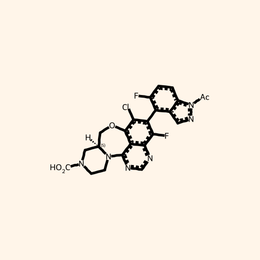 CC(=O)n1ncc2c(-c3c(Cl)c4c5c(ncnc5c3F)N3CCN(C(=O)O)C[C@H]3CO4)c(F)ccc21